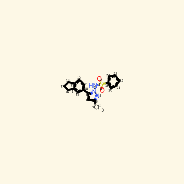 O=S(=O)(Nn1nc(C(F)(F)F)cc1-c1ccc2c(c1)CCC2)c1ccccc1